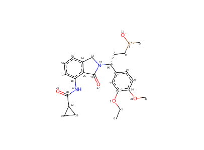 CCOc1cc([C@@H](CC[S+](C)[O-])N2Cc3cccc(NC(=O)C4CC4)c3C2=O)ccc1OC